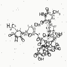 Cc1cn([C@H]2C[C@H](O)[C@@H](COP(=O)(OC[C@H]3O[C@@H](n4cc(C)c(=O)[nH]c4=O)C[C@@H]3O)OP(=O)(OP(=O)(O)O)OP(=O)(O)OP(=O)(O)OP(=O)(O)O)O2)c(=O)[nH]c1=O